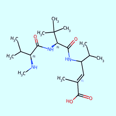 CN[C@H](C(=O)N[C@H](C(=O)NC(/C=C(\C)C(=O)O)C(C)C)C(C)(C)C)C(C)C